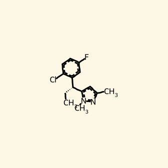 CC[C@H](c1cc(F)ccc1Cl)c1cc(C)nn1C